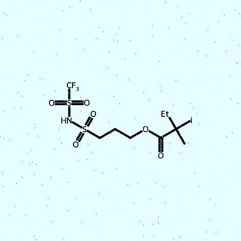 CCC(C)(I)C(=O)OCCCS(=O)(=O)NS(=O)(=O)C(F)(F)F